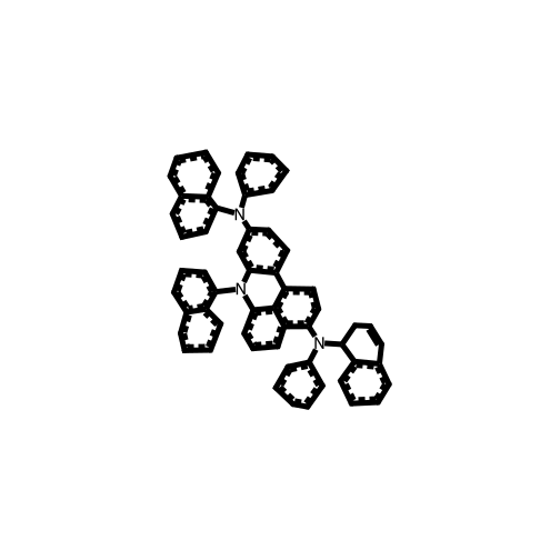 C1=Cc2ccccc2C(N(c2ccccc2)c2ccc3c4c(cccc24)N(c2cccc4ccccc24)c2cc(N(c4ccccc4)c4cccc5ccccc45)ccc2-3)C1